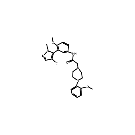 COc1ccc(NC(=O)CN2CCN(c3ccccc3OC)CC2)cc1-c1c(Cl)cnn1C